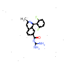 Cc1cc2ccc(C(=O)N=C(N)N)cc2c(-c2c(F)cccc2F)n1